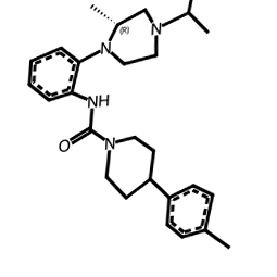 Cc1ccc(C2CCN(C(=O)Nc3ccccc3N3CCN(C(C)C)C[C@H]3C)CC2)cc1